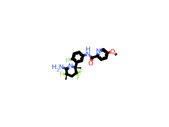 COc1ccc(C(=O)Nc2ccc(F)c([C@@]3(C)N=C(N)[C@@](C)(F)CC3(F)F)c2)nc1